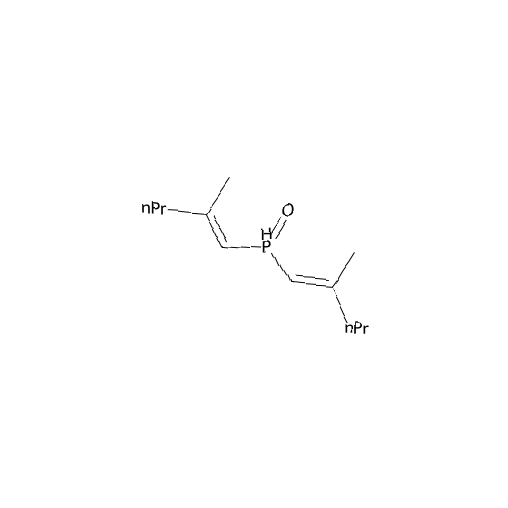 CCCC(C)=C[PH](=O)C=C(C)CCC